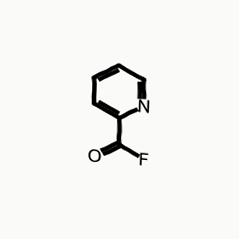 O=C(F)c1ccccn1